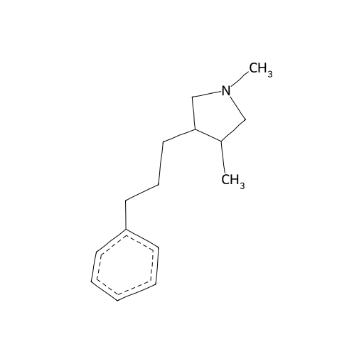 CC1CN(C)CC1CCCc1ccccc1